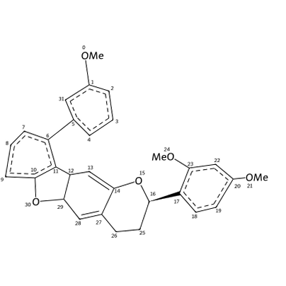 COc1cccc(-c2cccc3c2C2C=C4O[C@@H](c5ccc(OC)cc5OC)CCC4=CC2O3)c1